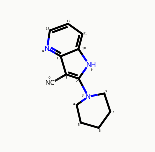 N#Cc1c(N2CCCCC2)[nH]c2cccnc12